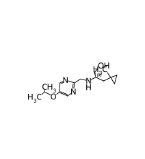 CC(C)Oc1cnc(CN[C@@H](CO)CC2(C)CC2)nc1